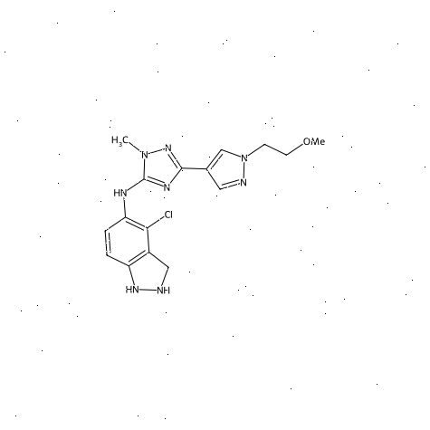 COCCn1cc(-c2nc(Nc3ccc4c(c3Cl)CNN4)n(C)n2)cn1